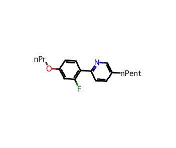 CCCCCc1ccc(-c2ccc(OCCC)cc2F)nc1